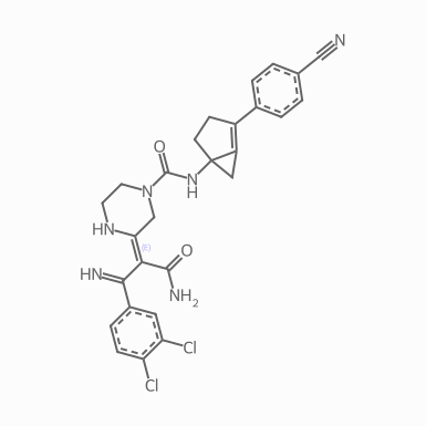 N#Cc1ccc(C2=C3CC3(NC(=O)N3CCN/C(=C(\C(=N)c4ccc(Cl)c(Cl)c4)C(N)=O)C3)CC2)cc1